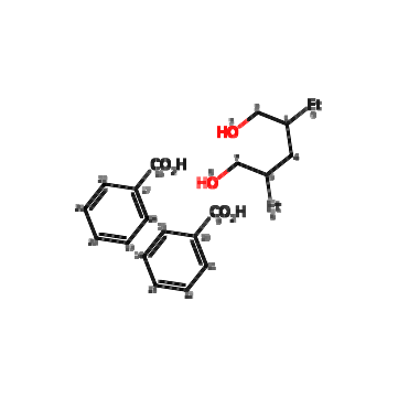 CCC(CO)CC(CC)CO.O=C(O)c1ccccc1.O=C(O)c1ccccc1